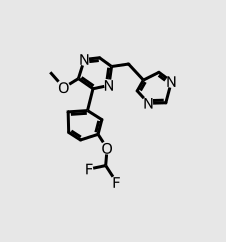 COc1ncc(Cc2cncnc2)nc1-c1cccc(OC(F)F)c1